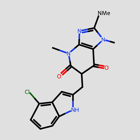 CNc1nc2c(n1C)C(=O)C(Cc1cc3c(Cl)cccc3[nH]1)C(=O)N2C